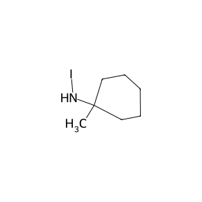 CC1(NI)CCCCC1